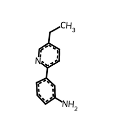 CCc1ccc(-c2cccc(N)c2)nc1